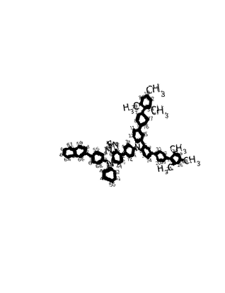 Cc1cc(C)c(-c2ccc(-c3ccc4c(c3)c3cc(-c5ccc(-c6c(C)cc(C)cc6C)cc5)ccc3n4-c3ccc(-c4ccc(N(c5ccccc5)c5ccc(-c6ccc7ccccc7c6)cc5)c5nsnc45)cc3)cc2)c(C)c1